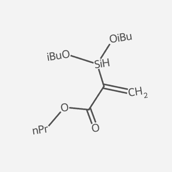 C=C(C(=O)OCCC)[SiH](OCC(C)C)OCC(C)C